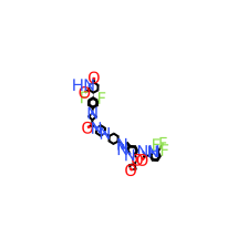 O=C1CC[C@H](c2c(F)cc(N3CC(C(=O)N4CCN(C5CCC(n6cc7cc(NC(=O)c8cccc(C(F)(F)F)n8)c(OC8COC8)nc7n6)CC5)CC4)C3)cc2F)C(=O)N1